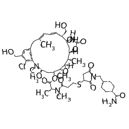 C/C1=C\C=C\[C@@H](CO)[C@@]2(O)C[C@H](OC(=O)N2)[C@@H](C)[C@@H]2O[C@@]2(C)C(OC(=O)[C@H](C)N(C)C(=O)CCSC2CC(=O)N(CC3CCC(C(N)=O)CC3)C2=O)CC(=O)N(C)c2cc(cc(CO)c2Cl)C1